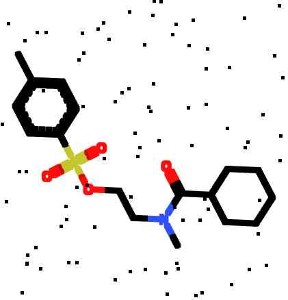 Cc1ccc(S(=O)(=O)OCCN(C)C(=O)C2CCCCC2)cc1